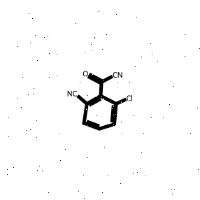 N#CC(=O)c1c(Cl)cccc1C#N